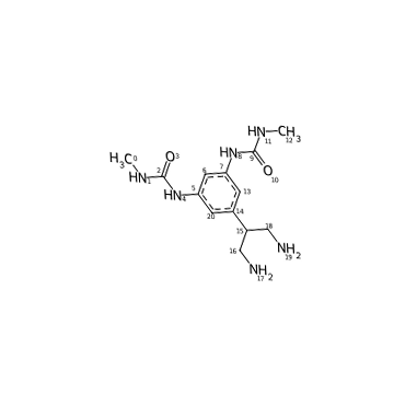 CNC(=O)Nc1cc(NC(=O)NC)cc(C(CN)CN)c1